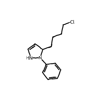 ClCCCCC1C=CNN1c1ccccc1